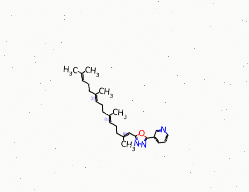 CC(C)=CCC/C(C)=C/CC/C(C)=C/CC/C(C)=C/c1nnc(-c2cccnc2)o1